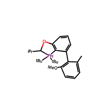 COc1cccc(C)c1-c1cccc2c1[PH](C(C)(C)C)(C(C)(C)C)C(C(C)C)O2